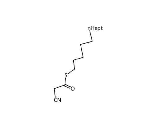 CCCCCCCCCCCCSC(=O)CC#N